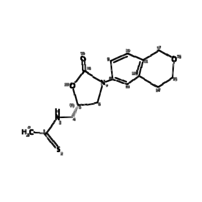 CC(=S)NC[C@H]1CN(c2ccc3c(c2)CCOC3)C(=O)O1